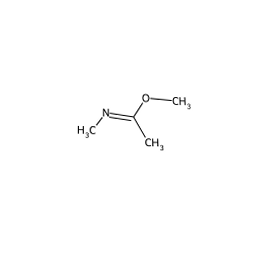 C/N=C(\C)OC